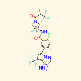 CC(C(=O)N1C[C@H](F)[C@H](NC(=O)c2cc(-c3cc(C(F)(F)F)c4c(N)ncnn34)c(F)cc2Cl)C1)C(F)(F)F